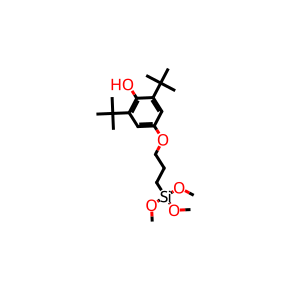 CO[Si](CCCOc1cc(C(C)(C)C)c(O)c(C(C)(C)C)c1)(OC)OC